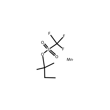 CCC(C)(C)OS(=O)(=O)C(F)(F)F.[Mn]